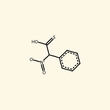 O=[N+]([O-])C(C(O)=S)c1ccccc1